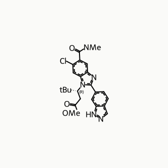 CNC(=O)c1cc2nc(-c3ccc4cn[nH]c4c3)n([C@H](CC(=O)OC)C(C)(C)C)c2cc1Cl